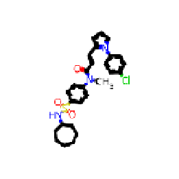 CN(C(=O)C=Cc1cccn1-c1ccc(Cl)cc1)c1ccc(S(=O)(=O)NC2CCCCCC2)cc1